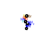 Nc1ncnc2c1c(-c1ccc(NS(=O)(=O)C3=CC(Br)=CCC3=S)c(F)c1)cn2C1CCCC1